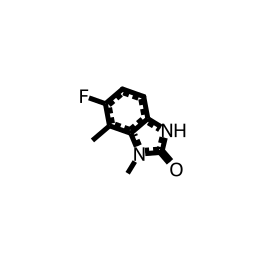 Cc1c(F)ccc2[nH]c(=O)n(C)c12